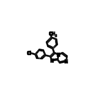 Cc1ccc(-c2c(-c3ccc(Cl)cc3)nc3cnccn23)cc1